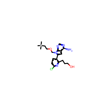 C[Si](C)(C)CCOCn1c(-c2ccc(Cl)nc2CCCO)cc2c(N)ncnc21